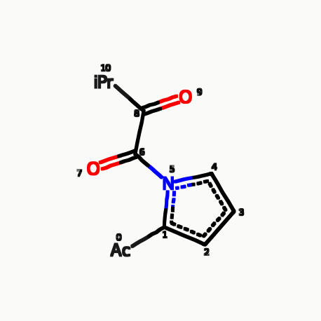 CC(=O)c1cccn1C(=O)C(=O)C(C)C